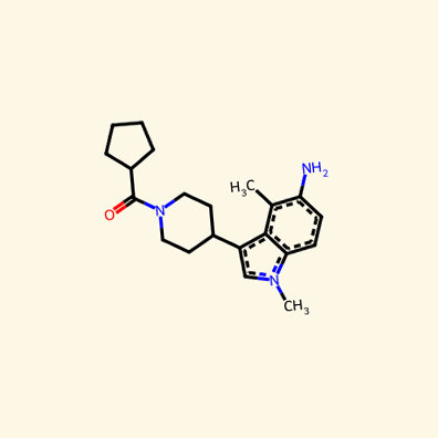 Cc1c(N)ccc2c1c(C1CCN(C(=O)C3CCCC3)CC1)cn2C